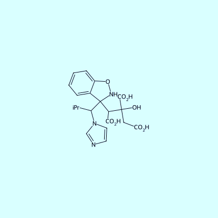 CC(C)C(n1ccnc1)C1(C(C(=O)O)C(O)(CC(=O)O)C(=O)O)NOc2ccccc21